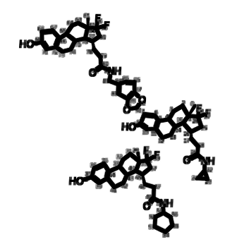 C[C@]12CCC3c4ccc(O)cc4CCC3C1[C@H](CCC(=O)NC1CC1)CC2(F)F.C[C@]12CCC3c4ccc(O)cc4CCC3C1[C@H](CCC(=O)NC1CCCCC1)CC2(F)F.C[C@]12CCC3c4ccc(O)cc4CCC3C1[C@H](CCC(=O)NCc1ccc3c(c1)OCO3)CC2(F)F